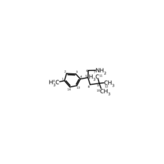 Cc1ccc(C(CN)CC(C)(C)C)cc1